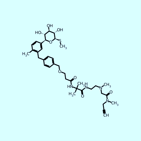 C#CCN(C)C(=O)CN(C)CCNC(=O)C(C)(C)NC(=O)CCOCc1ccc(Cc2cc([C@@H]3O[C@H](SC)[C@@H](O)[C@H](O)[C@H]3O)ccc2C)cc1